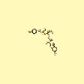 C=C(CCNC(=O)C1Cc2cc(Cl)ccc2O1)NC(=O)COc1ccc(Cl)cc1